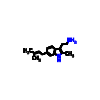 CC(C)=CCc1ccc2c(CCN)c(C)[nH]c2c1